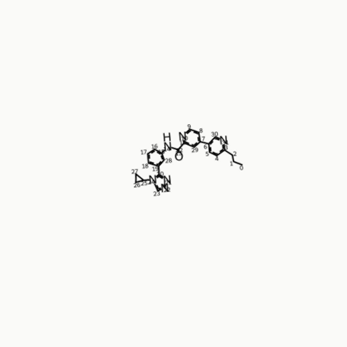 CCCc1ccc(-c2ccnc(C(=O)Nc3cccc(-c4nncn4C4CC4)c3)c2)cn1